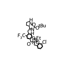 CCS(=O)(=O)N(Cc1cccc(Cl)c1)C(=O)c1ccc(C[C@H](NC(=O)OC(C)(C)C)C2CCCN2)c(C(F)(F)F)c1